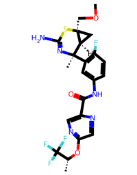 COC[C@]12C[C@H]1[C@@](C)(c1cc(NC(=O)c3cnc(O[C@H](C)C(F)(F)F)cn3)ccc1F)N=C(N)S2